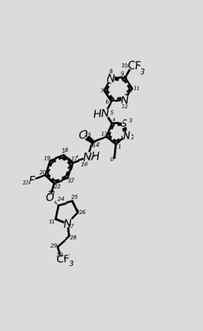 Cc1nsc(Nc2cnc(C(F)(F)F)cn2)c1C(=O)Nc1ccc(F)c(O[C@@H]2CCN(CCC(F)(F)F)C2)c1